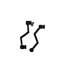 [CH2]CCO.[O]CCO